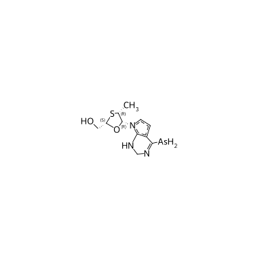 C[C@H]1S[C@@H](CO)O[C@H]1n1ccc2c1NCN=C2[AsH2]